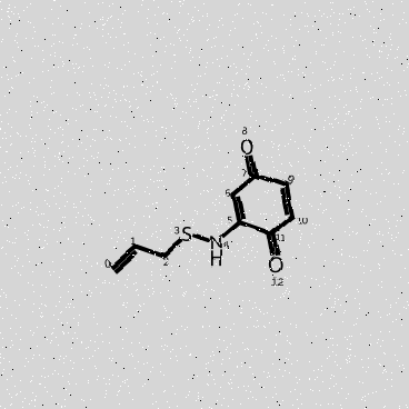 C=CCSNC1=CC(=O)C=CC1=O